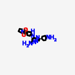 Nc1cc(Nc2ccc(S(=O)(=O)N3CCCC3)cc2)c2nc([C@H]3CC[C@H](N)CC3)cn2n1